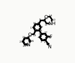 N#Cc1ccc(-c2cc(CC3CNCCO3)ccc2COc2cccnc2)cc1F